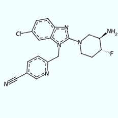 N#Cc1ccc(Cn2c(N3CC[C@@H](F)[C@H](N)C3)nc3ccc(Cl)cc32)nc1